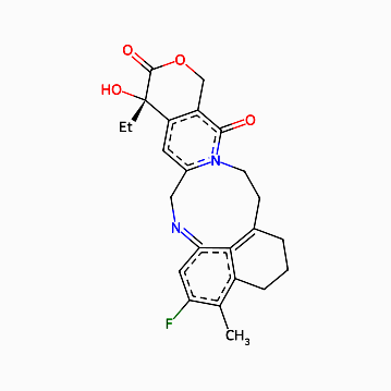 CC[C@@]1(O)C(=O)OCc2c1cc1n(c2=O)CCC2=c3c(c(C)c(F)c/c3=N/C1)CCC2